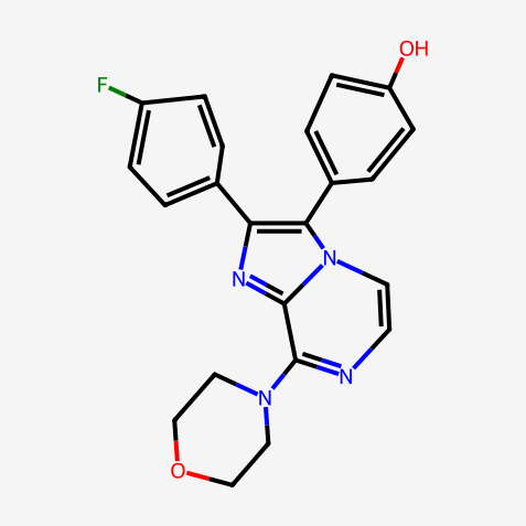 Oc1ccc(-c2c(-c3ccc(F)cc3)nc3c(N4CCOCC4)nccn23)cc1